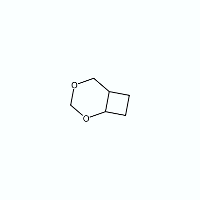 C1OCC2CCC2O1